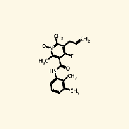 C=CCc1c(F)c(C(=O)Nc2cccc(C)c2C)c(C)[n+]([O-])c1C